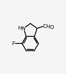 O=CC1CNc2c(F)cccc21